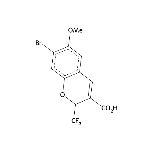 COc1cc2c(cc1Br)OC(C(F)(F)F)C(C(=O)O)=C2